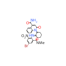 CNC(=O)c1cc(Br)cc([N+](=O)[O-])c1N[C@@H]1CCCC[C@@H]1n1c(=O)cc(C(N)=O)c2ccccc21